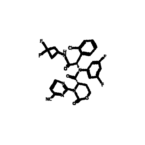 N#Cc1ccnc(N2C(=O)OCC[C@H]2C(=O)N(c2cc(F)cc(F)c2)[C@H](C(=O)NC2CC(F)(F)C2)c2ccccc2Cl)n1